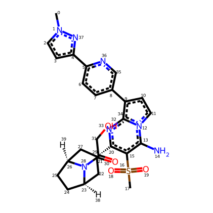 Cn1ccc(-c2ccc(-c3ccn4c(N)c(S(C)(=O)=O)c([C@@H]5C[C@H]6CC[C@@H](C5)N6C(=O)CO)nc34)cn2)n1